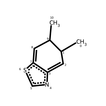 CC1C=c2ncsc2=CC1C